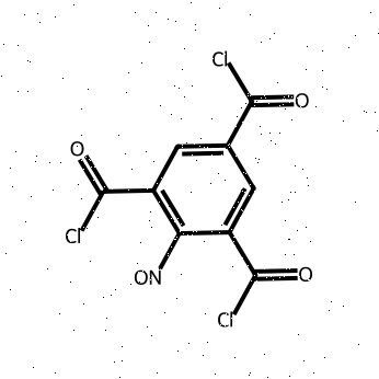 O=Nc1c(C(=O)Cl)cc(C(=O)Cl)cc1C(=O)Cl